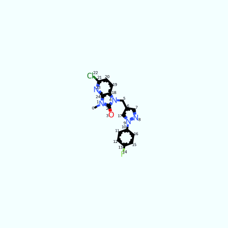 Cn1c(=O)n(Cc2cnn(-c3ccc(F)cc3)c2)c2ccc(Cl)nc21